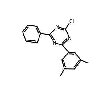 Cc1cc(C)cc(-c2nc(Cl)nc(-c3ccccc3)n2)c1